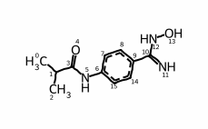 CC(C)C(=O)Nc1ccc(C(=N)NO)cc1